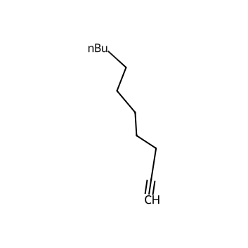 C#CCCCCCCCC[CH2]